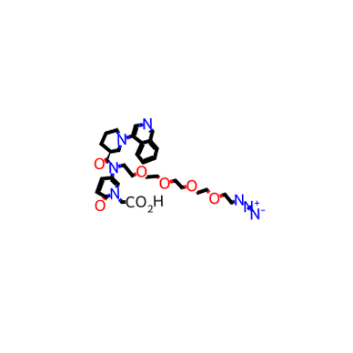 [N-]=[N+]=NCCOCCOCCOCCOCCN(C(=O)[C@H]1CCCN(c2cncc3ccccc23)C1)c1ccc(=O)n(CC(=O)O)c1